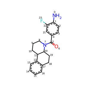 Nc1ccc(C(=O)N2CCCC3c4ccccc4CCC32)cc1F